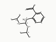 C=C(C)c1ccccc1[SiH2]C(OC(C)C)OC(C)C